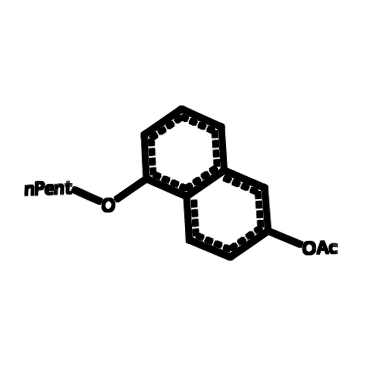 CCCCCOc1cccc2cc(OC(C)=O)ccc12